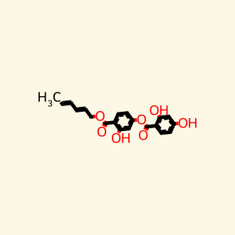 CC=CC=CCOC(=O)c1ccc(OC(=O)c2ccc(O)cc2O)cc1O